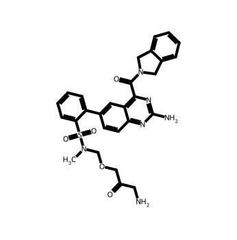 CN(COCC(=O)CN)S(=O)(=O)c1ccccc1-c1ccc2nc(N)nc(C(=O)N3Cc4ccccc4C3)c2c1